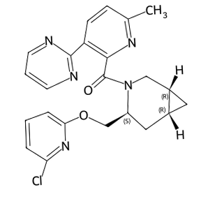 Cc1ccc(-c2ncccn2)c(C(=O)N2C[C@@H]3C[C@@H]3C[C@H]2COc2cccc(Cl)n2)n1